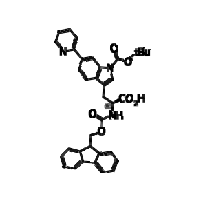 CC(C)(C)OC(=O)n1cc(C[C@H](NC(=O)OCC2c3ccccc3-c3ccccc32)C(=O)O)c2ccc(-c3ccccn3)cc21